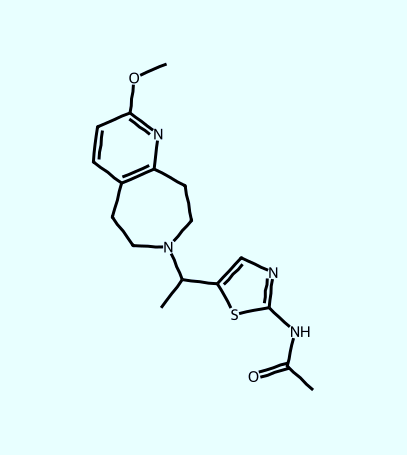 COc1ccc2c(n1)CCN(C(C)c1cnc(NC(C)=O)s1)CC2